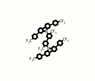 FC(F)(F)c1ccc(-c2ccc3c4ccc(-c5ccc(C(F)(F)F)cc5)cc4n(-c4cc(-c5ccc(C(F)(F)F)c(-n6c7cc(-c8ccc(C(F)(F)F)cc8)ccc7c7ccc(-c8ccc(C(F)(F)F)cc8)cc76)c5)ccc4C(F)(F)F)c3c2)cc1